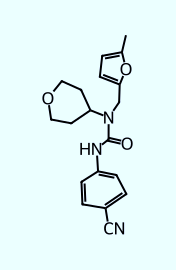 Cc1ccc(CN(C(=O)Nc2ccc(C#N)cc2)C2CCOCC2)o1